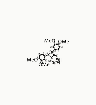 COc1ccc(C2OC(c3ccc(OC)c(OC)c3)C(CO)C2CO)cc1OC